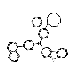 c1ccc(C2(c3ccc(N(c4ccc(-c5cccc6ccccc56)cc4)c4ccc5sc6ccccc6c5c4)cc3)CCCCCCC2)cc1